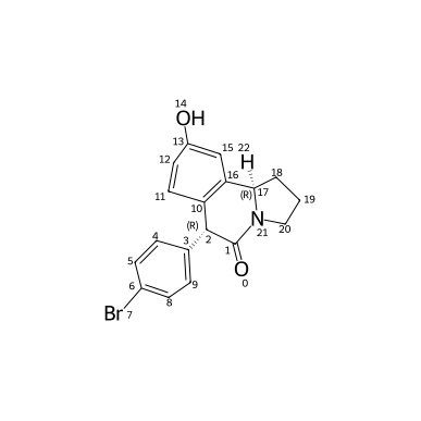 O=C1[C@H](c2ccc(Br)cc2)c2ccc(O)cc2[C@H]2CCCN12